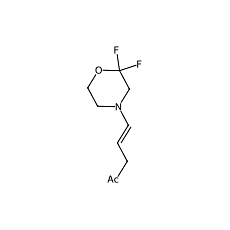 CC(=O)CC=CN1CCOC(F)(F)C1